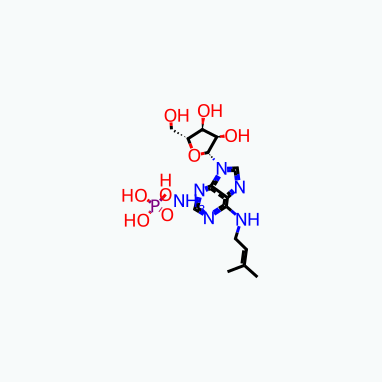 CC(C)=CCNc1ncnc2c1ncn2[C@@H]1O[C@H](CO)[C@@H](O)[C@H]1O.N.O=P(O)(O)O